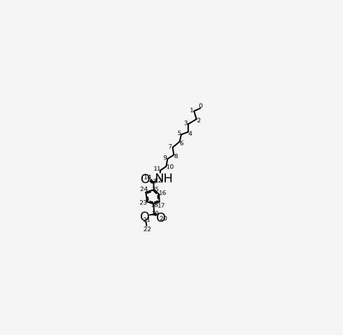 CCCCCCCCCCCCNC(=O)c1ccc(C(=O)OC)cc1